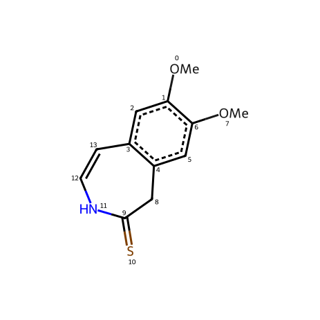 COc1cc2c(cc1OC)CC(=S)NC=C2